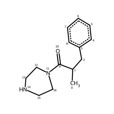 CC(Cc1ccccc1)C(=O)N1CCNCC1